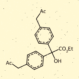 CCOC(=O)C(O)(c1ccc(CC(C)=O)cc1)c1ccc(CC(C)=O)cc1